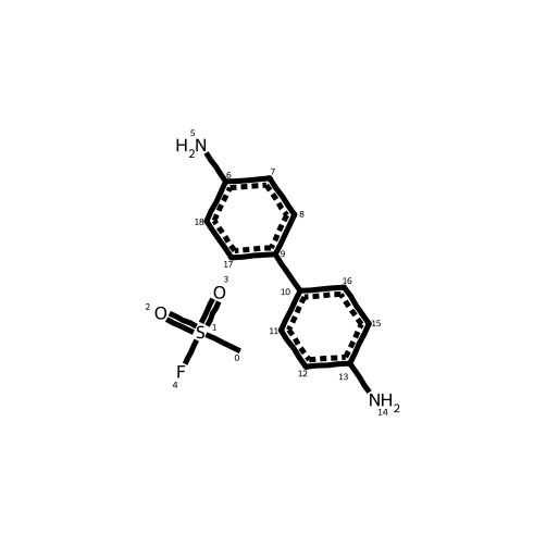 CS(=O)(=O)F.Nc1ccc(-c2ccc(N)cc2)cc1